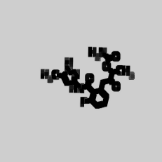 Cc1cc(NC(=O)c2c(F)cccc2CC(=O)C(C)OC(N)=O)n[nH]1